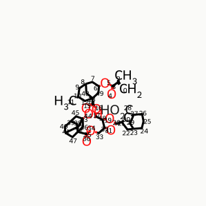 C=C(C)C(=O)OC1CC2CC(C)CC(C(=O)OCC3OC(C4CC5CCCC(C(=O)O)(C5)C4)OC3COC(=O)C34CC5CC(CC(O)(C5)C3)C4)(C2)C1